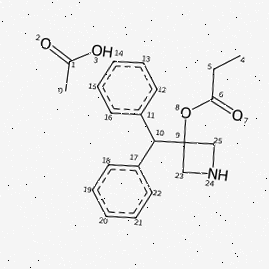 CC(=O)O.CCC(=O)OC1(C(c2ccccc2)c2ccccc2)CNC1